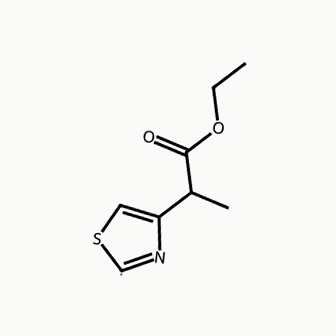 CCOC(=O)C(C)c1cs[c]n1